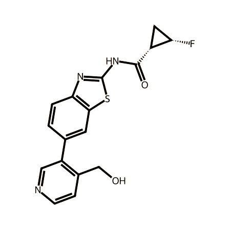 O=C(Nc1nc2ccc(-c3cnccc3CO)cc2s1)[C@@H]1C[C@@H]1F